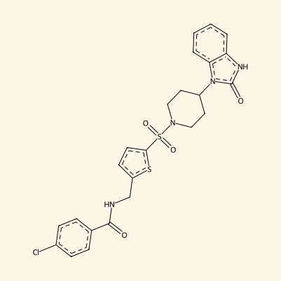 O=C(NCc1ccc(S(=O)(=O)N2CCC(n3c(=O)[nH]c4ccccc43)CC2)s1)c1ccc(Cl)cc1